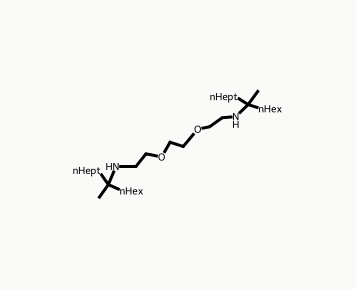 CCCCCCCC(C)(CCCCCC)NCCOCCOCCNC(C)(CCCCCC)CCCCCCC